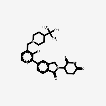 CC(C)(O)C1CCN(Cc2ccnc(-c3ccc4c(c3)CN(C3CCC(=O)NC3=O)C4=O)c2Cl)CC1